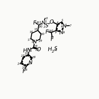 CN(SOc1cn(C)nc1C(F)F)[C@H](F)C1CCN(C(=O)Nc2ccc(F)nc2)CC1.S